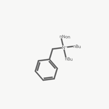 CCCCCCCCC[N+](CCCC)(CCCC)Cc1ccccc1